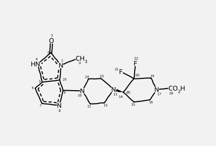 Cn1c(=O)[nH]c2ccnc(N3CCN([C@@H]4CCN(C(=O)O)CC4(F)F)CC3)c21